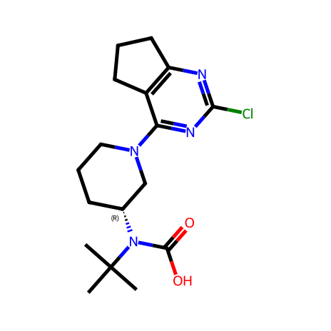 CC(C)(C)N(C(=O)O)[C@@H]1CCCN(c2nc(Cl)nc3c2CCC3)C1